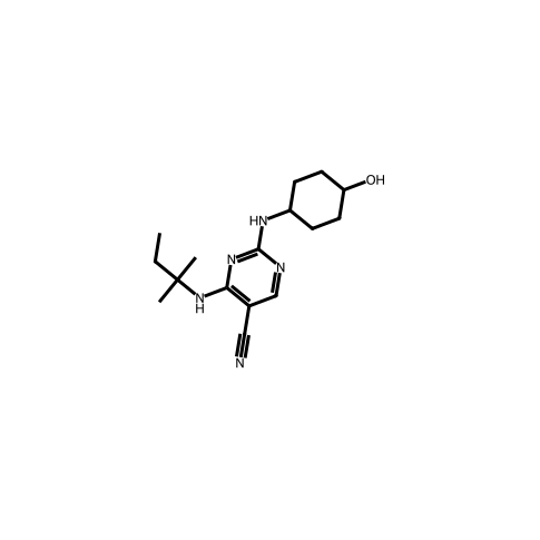 CCC(C)(C)Nc1nc(NC2CCC(O)CC2)ncc1C#N